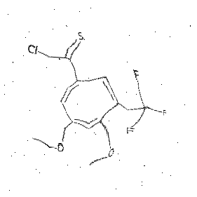 COc1cc(C(=S)Cl)cc(C(F)(F)F)c1OC